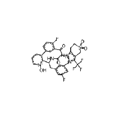 NC(=O)c1cc(-c2ccc[n+](O)c2[C@H](Cc2cc(F)cc(F)c2)NC(=O)Cn2nc(C(F)(F)F)c3c2CCS(=O)(=O)C3)ccc1F